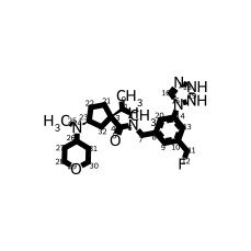 CC(C)[C@]1(C(=O)NCc2cc(CF)cc(N3C=NNN3)c2)CC[C@@H](N(C)C2CCOCC2)C1